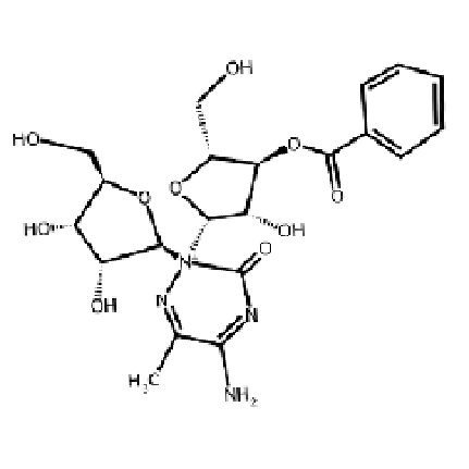 CC1=N[N+]([C@@H]2O[C@H](CO)[C@@H](O)[C@H]2O)([C@@H]2O[C@H](CO)[C@@H](OC(=O)c3ccccc3)[C@@H]2O)C(=O)N=C1N